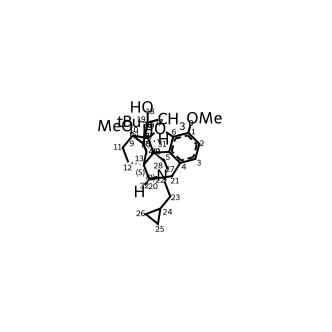 COc1ccc2c3c1O[C@H]1[C@]4(OC)CC[C@@]5(C[C@@H]4[C@](C)(O)C(C)(C)C)[C@@H](C2)N(CC2CC2)CC[C@]315